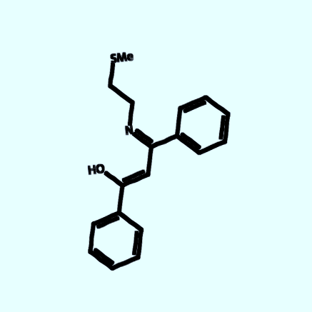 CSCCN=C(C=C(O)c1ccccc1)c1ccccc1